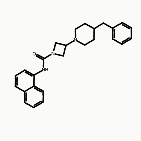 O=C(Nc1cccc2ccccc12)N1CC(N2CCC(Cc3ccccc3)CC2)C1